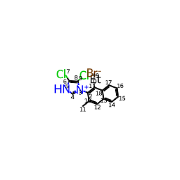 CCc1c(-[n+]2c[nH]c(Cl)c2Cl)c(C)cc2ccccc12.[Br-]